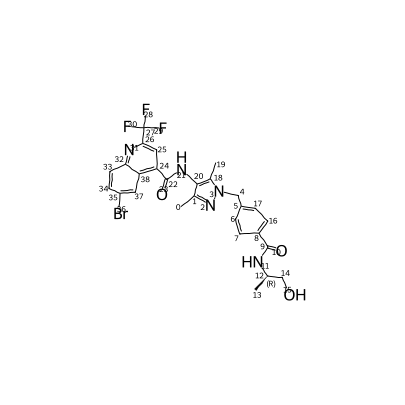 Cc1nn(Cc2ccc(C(=O)N[C@H](C)CO)cc2)c(C)c1NC(=O)c1cc(C(F)(F)F)nc2ccc(Br)cc12